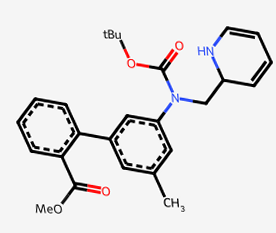 COC(=O)c1ccccc1-c1cc(C)cc(N(CC2C=CC=CN2)C(=O)OC(C)(C)C)c1